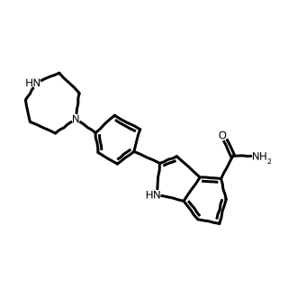 NC(=O)c1cccc2[nH]c(-c3ccc(N4CCCNCC4)cc3)cc12